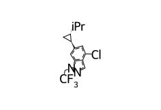 CC(C)[C@H]1C[C@@H]1c1cc(Cl)c2cnn(CC(F)(F)F)c2c1